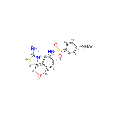 CC(=O)Nc1ccc(S(=O)(=O)Nc2ccc3c(c2)C2(COC3)CSC(N)=N2)cc1